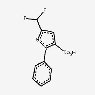 O=C(O)c1cc(C(F)F)nn1-c1ccccc1